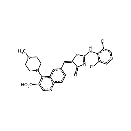 CN1CCN(c2c(C(=O)O)cnc3ccc(C=C4SC(Nc5c(Cl)cccc5Cl)=NC4=O)cc23)CC1